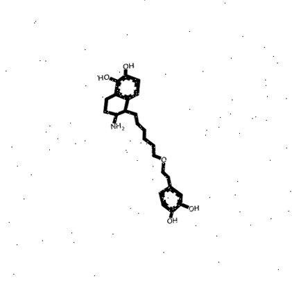 NC1CCc2c(ccc(O)c2O)C1CCCCCCOCCc1ccc(O)c(O)c1